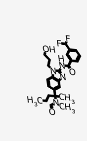 CCCC(C)(c1ccc2c(c1)nc(NC(=O)c1cccc(C(F)F)c1)n2CCCO)N(C)C=O